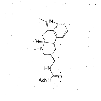 CC(=O)NC(=O)NC[C@@H]1CC2c3cccc4[nH]c(C)c(c34)C[C@H]2N(C)C1